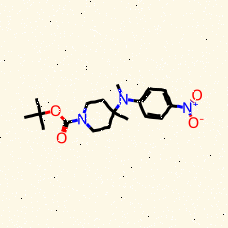 CN(c1ccc([N+](=O)[O-])cc1)C1(C)CCN(C(=O)OC(C)(C)C)CC1